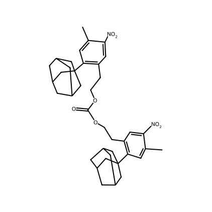 Cc1cc(C23CC4CC(CC(C4)C2)C3)c(CCOC(=O)OCCc2cc([N+](=O)[O-])c(C)cc2C23CC4CC(CC(C4)C2)C3)cc1[N+](=O)[O-]